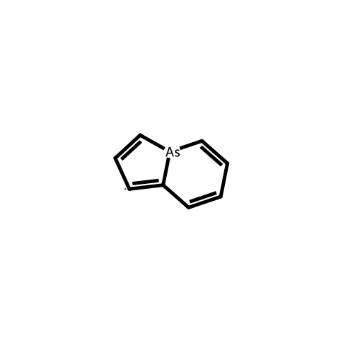 [C]1=C2C=CC=C[As]2C=C1